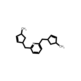 CC1C=CC(Cc2cccc(CC3C=CC(C)C3)n2)C1